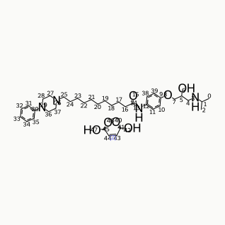 CC(C)NCC(O)COc1ccc(NC(=O)CCCCCCCCCCN2CCN(c3ccccc3)CC2)cc1.O=C(O)/C=C\C(=O)O